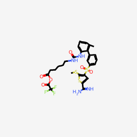 CSc1sc(C(=N)N)cc1S(=O)(=O)c1cccc(-c2c(C)cccc2NC(=O)NCCCCCC(=O)OC(=O)C(F)(F)F)c1